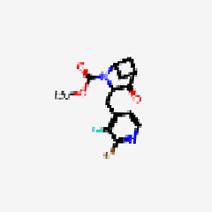 CC(C)(C)OC(=O)N1C2CC(C2)C(=O)C1Cc1ccnc(Br)c1F